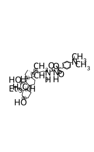 CC[C@@H]1C2C[C@H](O)CC[C@]2(C)[C@H]2CCC3(C)[C@@H]([C@H](C)CCNC(=O)NS(=O)(=O)c4ccc(N(C)C)cc4)CC[C@H]3C2[C@@H]1O